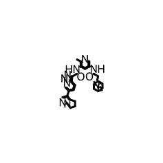 Cc1ncc(NC(=O)CN2CC3CCC2CC3)cc1NC(=O)c1nnn2cc(-c3cnn4c3CCC4)ccc12